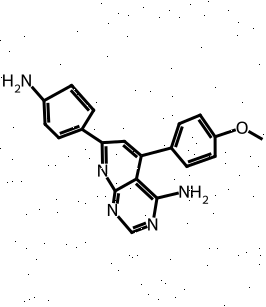 COc1ccc(-c2cc(-c3ccc(N)cc3)nc3ncnc(N)c23)cc1